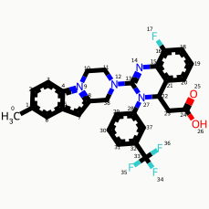 Cc1ccc2c(c1)cc1n2CCN(C2=Nc3c(F)cccc3C(CC(=O)O)N2c2cccc(C(F)(F)F)c2)C1